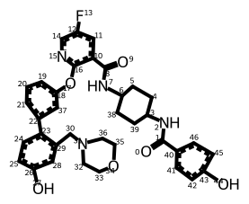 O=C(NC1CCC(NC(=O)c2cc(F)cnc2Oc2cccc(-c3ccc(O)cc3CN3CCOCC3)c2)CC1)c1ccc(O)cc1